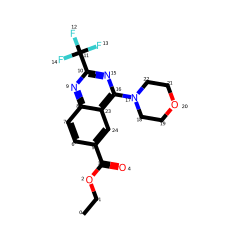 CCOC(=O)c1ccc2nc(C(F)(F)F)nc(N3CCOCC3)c2c1